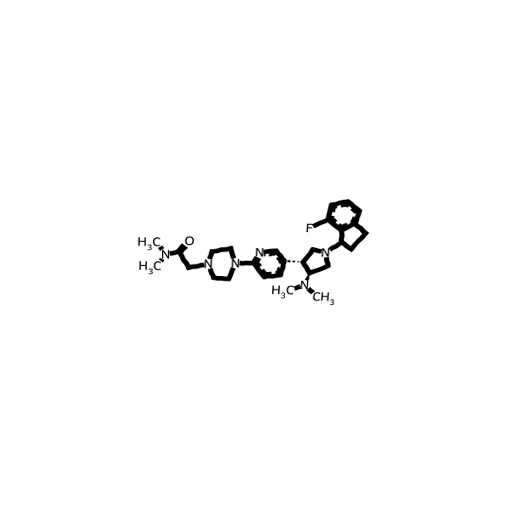 CN(C)C(=O)CN1CCN(c2ccc([C@@H]3CN(C4CCc5cccc(F)c54)C[C@H]3N(C)C)cn2)CC1